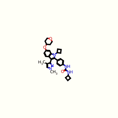 Cc1cn(C)nc1-c1c(-c2ccc(NC(=O)NC3CCC3)cc2)n(C2CCC2)c2cc(OC3CCOCC3)ccc12